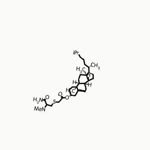 CNC(CSCC(=O)O[C@H]1CC[C@@]2(C)C(=CC[C@H]3[C@H]4CC[C@H]([C@@H](C)CCCC(C)C)[C@@]4(C)CC[C@H]32)C1)C(N)=O